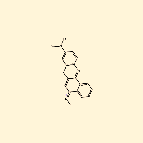 CCN(CC)c1ccc2c(c1)CC1=C/C(=N/C)c3ccccc3C1=N2